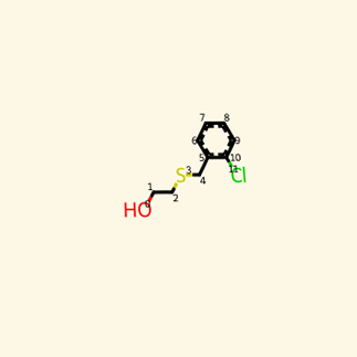 OCCSCc1ccccc1Cl